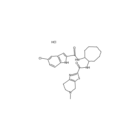 CN1CCc2nc(C(=O)NC3CCCCCCC3NC(=O)c3cc4cc(Cl)ccc4[nH]3)sc2C1.Cl